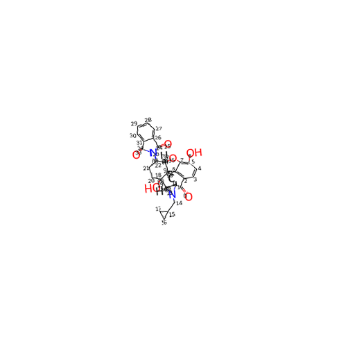 O=Cc1ccc(O)c2c1[C@]13CC4[C@@H](N4CC4CC4)[C@]1(O)CC[C@@H](N1C(=O)c4ccccc4C1=O)[C@@H]3O2